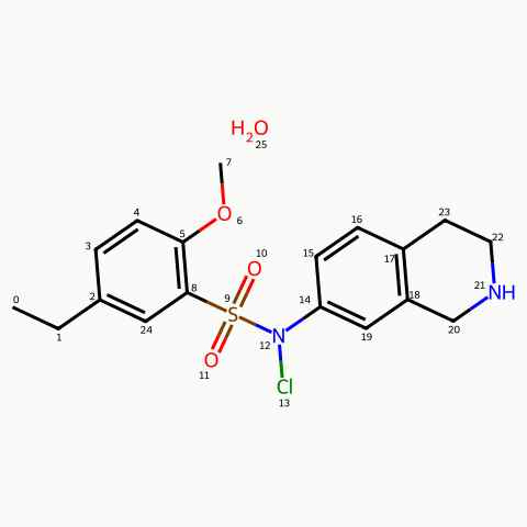 CCc1ccc(OC)c(S(=O)(=O)N(Cl)c2ccc3c(c2)CNCC3)c1.O